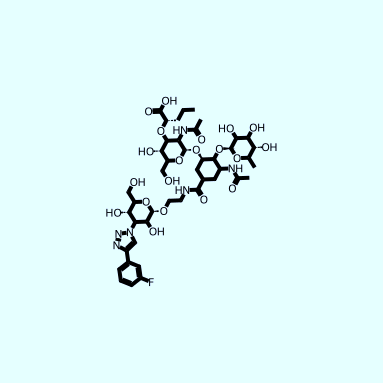 CCC[C@H](OC1C(NC(C)=O)[C@H](O[C@@H]2CC(C(=O)NCCO[C@H]3OC(CO)[C@@H](O)C(n4cc(-c5cccc(F)c5)nn4)C3O)CC(NC(C)=O)C2O[C@@H]2OC(C)[C@@H](O)C(O)C2O)OC(CO)[C@@H]1O)C(=O)O